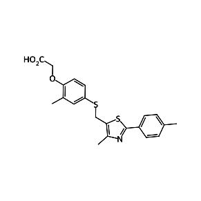 Cc1ccc(-c2nc(C)c(CSc3ccc(OCC(=O)O)c(C)c3)s2)cc1